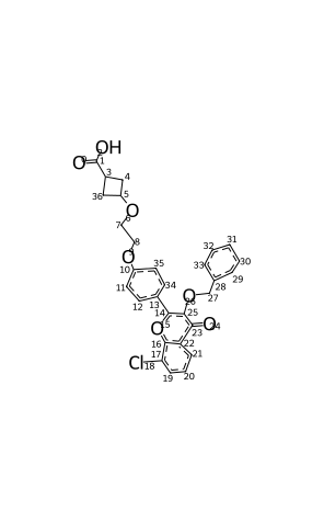 O=C(O)C1CC(OCCOc2ccc(-c3oc4c(Cl)cccc4c(=O)c3OCc3ccccc3)cc2)C1